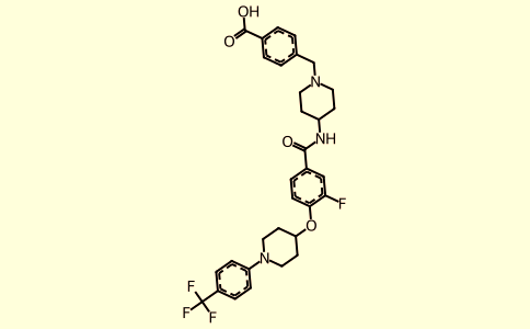 O=C(O)c1ccc(CN2CCC(NC(=O)c3ccc(OC4CCN(c5ccc(C(F)(F)F)cc5)CC4)c(F)c3)CC2)cc1